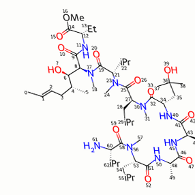 C/C=C/C[C@@H](C)[C@@H](O)[C@@H](C(=O)N[C@@H](CC)C(=O)OC)N(C)C(=O)[C@H](C(C)C)N(C)C(=O)[C@H](CC(C)C)N(C)C(=O)[C@H](CC(C)(C)O)NC(=O)[C@@H](C)NC(=O)[C@H](C)NC(=O)[C@H](CC(C)C)N(C)C(=O)[C@@H](N)C(C)C